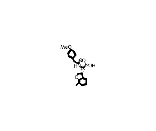 COc1ccc(CC(=O)N[C@@H](C[C@H]2COc3c(C)cccc32)B(O)O)cc1